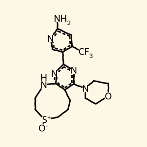 Nc1cc(C(F)(F)F)c(-c2nc3c(c(N4CCOCC4)n2)CCC[S+]([O-])CCN3)cn1